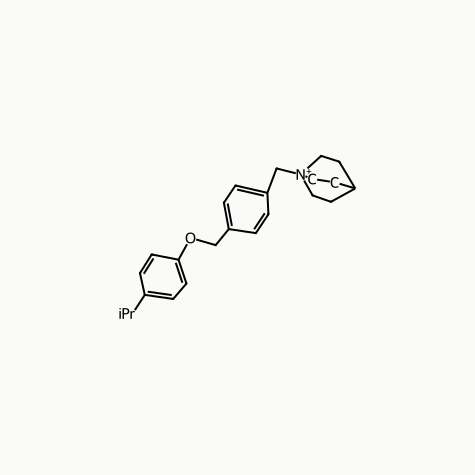 CC(C)c1ccc(OCc2ccc(C[N+]34CCC(CC3)CC4)cc2)cc1